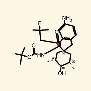 C[C@@H]1C[C@@]2(Cc3ccc(N)cc3[C@]23N=C(NC(=O)OC(C)(C)C)N(CC(C)(C)F)C3=O)C[C@H](C)[C@H]1O